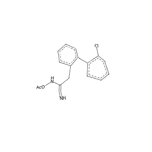 CC(=O)ONC(=N)Cc1ccccc1-c1ccccc1Cl